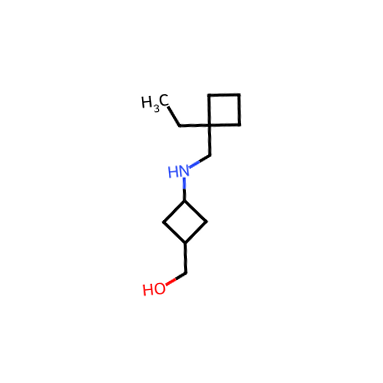 CCC1(CNC2CC(CO)C2)CCC1